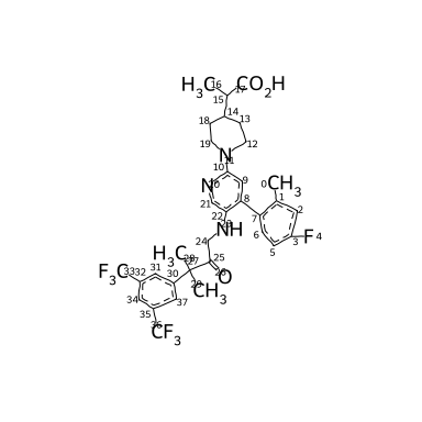 Cc1cc(F)ccc1-c1cc(N2CCC(C(C)C(=O)O)CC2)ncc1NCC(=O)C(C)(C)c1cc(C(F)(F)F)cc(C(F)(F)F)c1